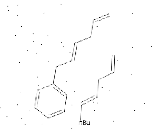 C=CC/C=C/CCCC.C=CC/C=C/Cc1ccccc1